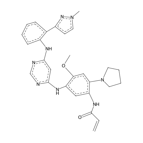 C=CC(=O)Nc1cc(Nc2cc(Nc3ccccc3-c3ccn(C)n3)ncn2)c(OC)cc1N1CCCC1